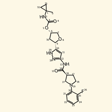 CC1(NC(=O)O[C@@H]2CO[C@H](c3cc(NC(=O)[C@H]4CCN(c5ccccc5F)C4)n[nH]3)C2)CC1